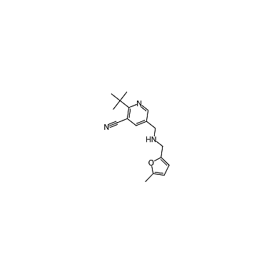 Cc1ccc(CNCc2cnc(C(C)(C)C)c(C#N)c2)o1